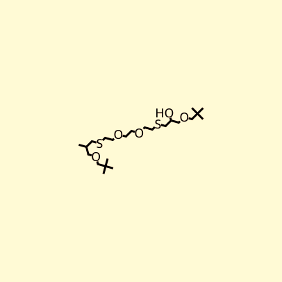 CC(COCC(C)(C)C)CSCCOCCOCCSCC(O)COCC(C)(C)C